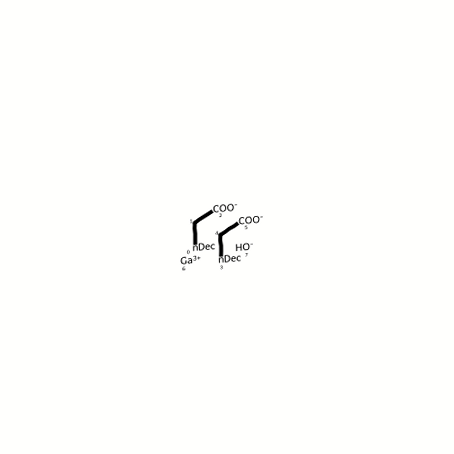 CCCCCCCCCCCC(=O)[O-].CCCCCCCCCCCC(=O)[O-].[Ga+3].[OH-]